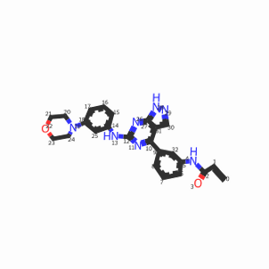 C=CC(=O)Nc1cccc(-c2nc(Nc3cccc(N4CCOCC4)c3)nc3[nH]ncc23)c1